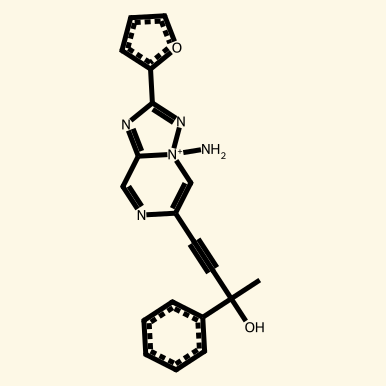 CC(O)(C#CC1=C[N+]2(N)N=C(c3ccco3)N=C2C=N1)c1ccccc1